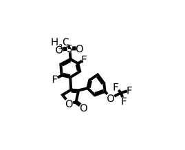 CS(=O)(=O)c1cc(F)c(C2=C(c3cccc(OC(F)(F)F)c3)C(=O)OC2)cc1F